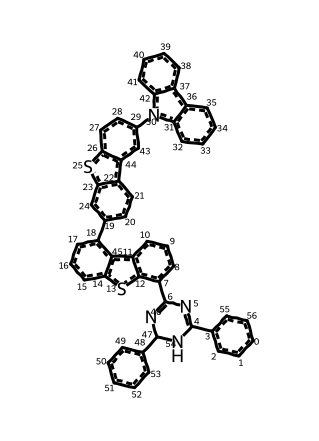 c1ccc(C2=NC(c3cccc4c3sc3cccc(-c5ccc6c(c5)sc5ccc(-n7c8ccccc8c8ccccc87)cc56)c34)=NC(c3ccccc3)N2)cc1